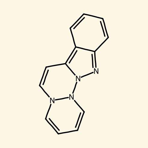 C1=CN2C=Cc3c4ccccc4nn3N2C=C1